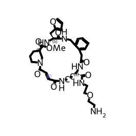 COC[C@]12CCCN(C1)C(=O)/C=C/C(=O)NCC[C@@H](C(=O)NCCOCCN)NC(=O)Cc1ccccc1CNC(=O)[C@H](Cc1ccco1)NC2=O